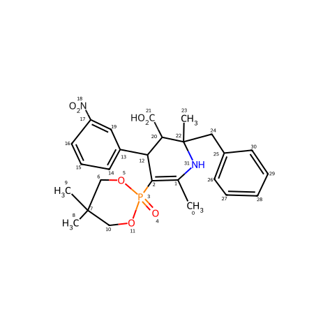 CC1=C(P2(=O)OCC(C)(C)CO2)C(c2cccc([N+](=O)[O-])c2)C(C(=O)O)C(C)(Cc2ccccc2)N1